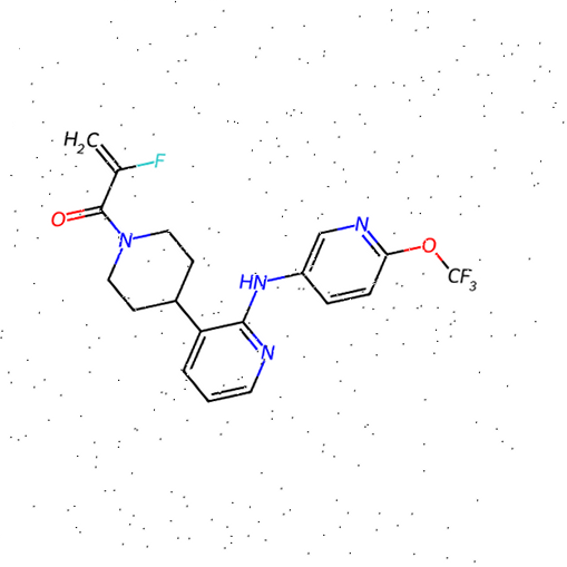 C=C(F)C(=O)N1CCC(c2cccnc2Nc2ccc(OC(F)(F)F)nc2)CC1